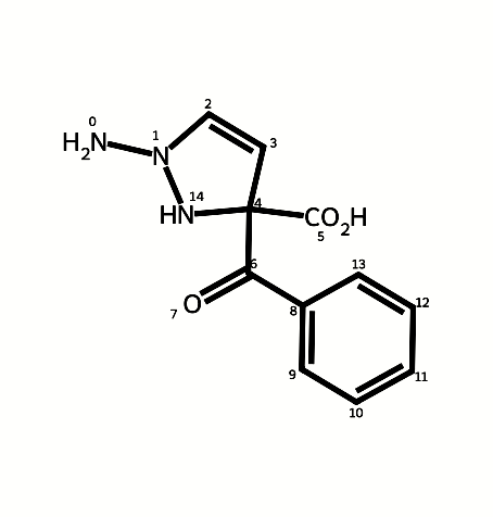 NN1C=CC(C(=O)O)(C(=O)c2ccccc2)N1